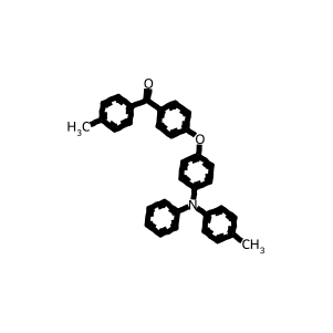 Cc1ccc(C(=O)c2ccc(Oc3ccc(N(c4ccccc4)c4ccc(C)cc4)cc3)cc2)cc1